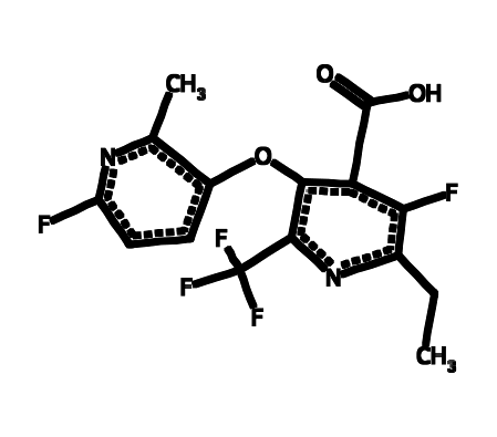 CCc1nc(C(F)(F)F)c(Oc2ccc(F)nc2C)c(C(=O)O)c1F